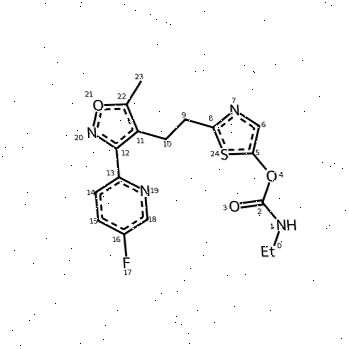 CCNC(=O)Oc1cnc(CCc2c(-c3ccc(F)cn3)noc2C)s1